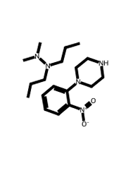 CCCN(CCC)N(C)C.O=[N+]([O-])c1ccccc1N1CCNCC1